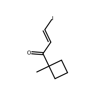 CC1(C(=O)/C=C/I)CCC1